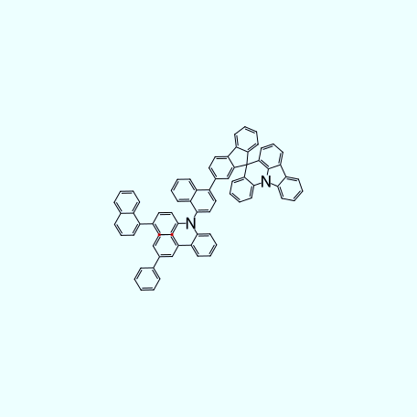 c1ccc(-c2cccc(-c3ccccc3N(c3ccc(-c4cccc5ccccc45)cc3)c3ccc(-c4ccc5c(c4)C4(c6ccccc6-5)c5ccccc5-n5c6ccccc6c6cccc4c65)c4ccccc34)c2)cc1